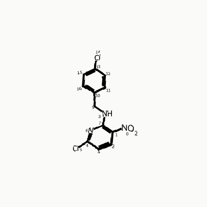 O=[N+]([O-])c1ccc(Cl)nc1NCc1ccc(Cl)cc1